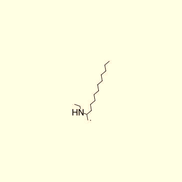 [CH2]C(CCCCCCCCCCC)NCC